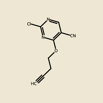 C#CCCOc1nc(Cl)ncc1C#N